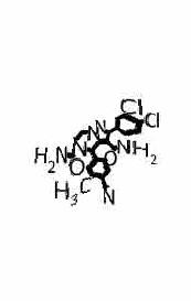 Cc1cc(C2c3c(C(N)=O)c(-c4ccc(Cl)c(Cl)c4)nn3CCN2C(N)=O)ccc1C#N